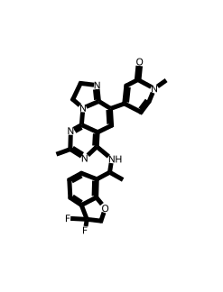 Cc1nc(NC(C)c2cccc3c2OCC3(F)F)c2c(n1)N1CCN=C1C(c1ccn(C)c(=O)c1)=C2